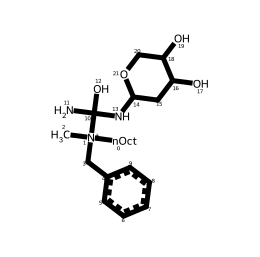 CCCCCCCC[N+](C)(Cc1ccccc1)C(N)(O)NC1CC(O)C(O)CO1